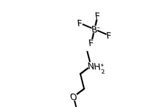 C[NH2+]CCOC.F[B-](F)(F)F